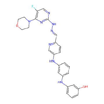 Oc1cccc(Nc2cccc(Nc3ccc(/C=N/Nc4ncc(F)c(N5CCOCC5)n4)nc3)c2)c1